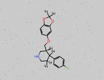 [2H]C1([2H])Oc2ccc(OC[C@@]3([2H])CNCC([2H])([2H])C3([2H])c3ccc(F)cc3)cc2O1